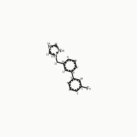 Fc1cccc(-c2cccc(Cn3cncn3)c2)c1